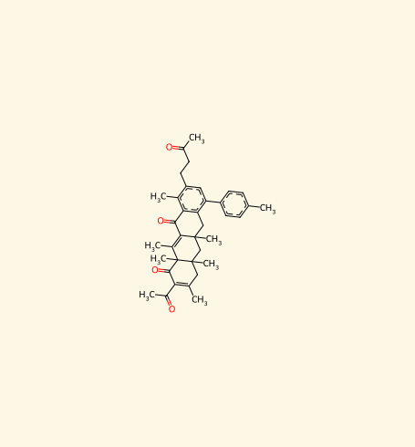 CC(=O)CCc1cc(-c2ccc(C)cc2)c2c(c1C)C(=O)C1=C(C)C3(C)C(=O)C(C(C)=O)=C(C)CC3(C)CC1(C)C2